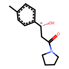 Cc1ccc([C@H](O)CC(=O)N2CCCC2)cc1